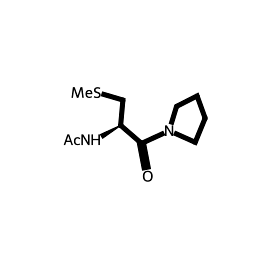 CSC[C@H](NC(C)=O)C(=O)N1CCCC1